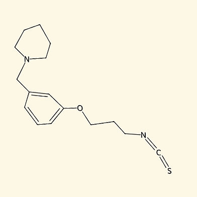 S=C=NCCCOc1cccc(CN2CCCCC2)c1